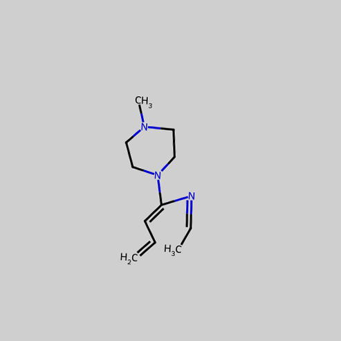 C=C/C=C(\N=C/C)N1CCN(C)CC1